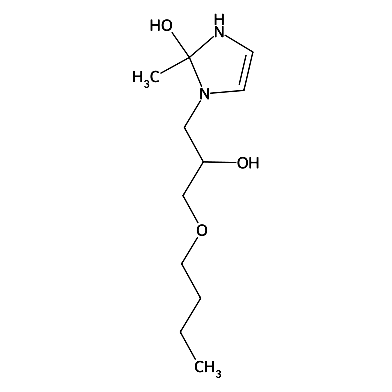 CCCCOCC(O)CN1C=CNC1(C)O